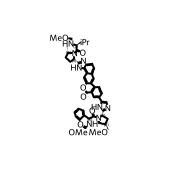 COCN[C@H](C(=O)N1[C@@H](C)CC[C@H]1c1nc2ccc3cc4c(cc3c2[nH]1)oc(=O)c1cc(-c2cnc([C@@H]3C[C@H](COC)CN3C(=O)[C@H](NC(=O)OC)c3ccccc3)[nH]2)ccc14)C(C)C